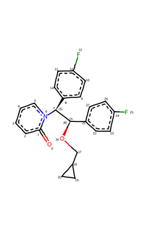 O=c1ccccn1[C@@H](c1ccc(F)cc1)[C@H](OCC1CC1)c1ccc(F)cc1